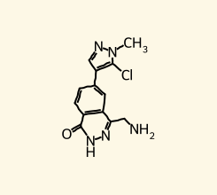 Cn1ncc(-c2ccc3c(=O)[nH]nc(CN)c3c2)c1Cl